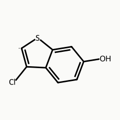 Oc1ccc2c(Cl)[c]sc2c1